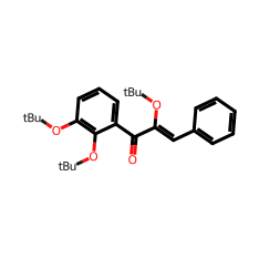 CC(C)(C)OC(=Cc1ccccc1)C(=O)c1cccc(OC(C)(C)C)c1OC(C)(C)C